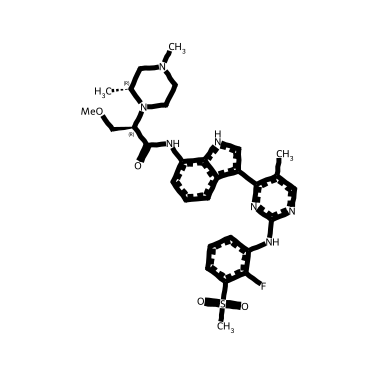 COC[C@H](C(=O)Nc1cccc2c(-c3nc(Nc4cccc(S(C)(=O)=O)c4F)ncc3C)c[nH]c12)N1CCN(C)C[C@H]1C